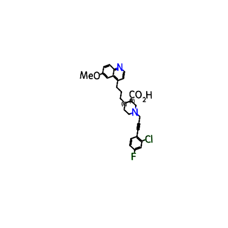 COc1ccc2nccc(CCC[C@@H]3CCN(CC#Cc4ccc(F)cc4Cl)C[C@@H]3C(=O)O)c2c1